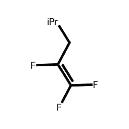 CC(C)CC(F)=C(F)F